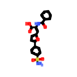 NS(=O)(=O)c1ccc(-c2ccc(/C=C(/NC(=O)c3ccccc3)C(=O)O)o2)cc1